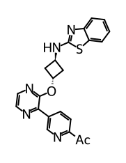 CC(=O)c1ccc(-c2nccnc2O[C@H]2C[C@H](Nc3nc4ccccc4s3)C2)cn1